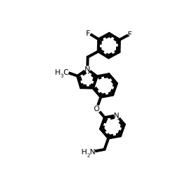 Cc1cc2c(Oc3cc(CN)ccn3)cccc2n1Cc1ccc(F)cc1F